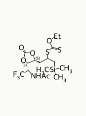 CCOC(=S)SC(C[C@@H]1OC(=O)O[C@H]1C(NC(C)=O)C(F)(F)F)C[Si](C)(C)C